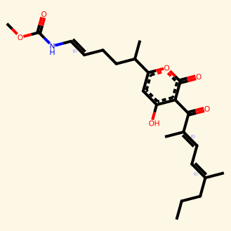 CCC/C(C)=C/C=C(\C)C(=O)c1c(O)cc(C(C)CC/C=C/NC(=O)OC)oc1=O